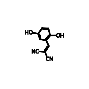 N#CC(C#N)=Cc1cc(O)ccc1O